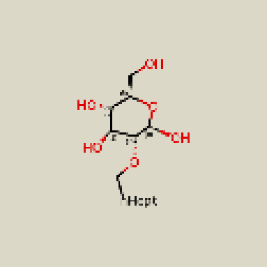 CCCCCCCCO[C@@H]1[C@@H](O)[C@H](O)[C@@H](CO)O[C@H]1O